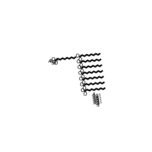 CCCCCCCCCC(=O)[O-].CCCCCCCCCC(=O)[O-].CCCCCCCCCC(=O)[O-].CCCCCCCCCC(=O)[O-].CCCCCCCCCC(=O)[O-].CCCCCCCCCC(=O)[O-].CCCCCCCCCC(=O)[O-].CCCCCCCCCC(=O)[O-].[Ag+].[Ag+].[Ag+].[Ag+].[Ag+].[Ag+].[Ag+].[Ag+]